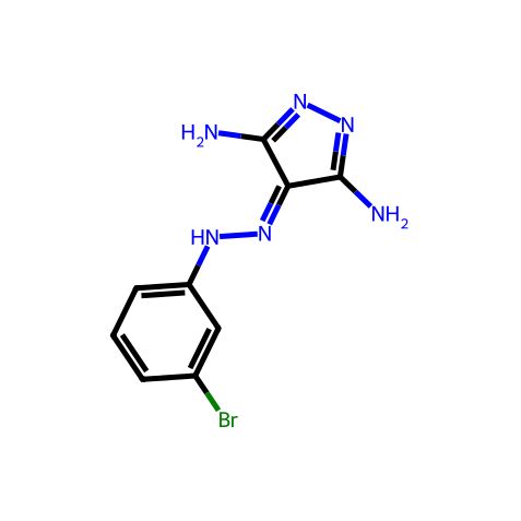 NC1=NN=C(N)C1=NNc1cccc(Br)c1